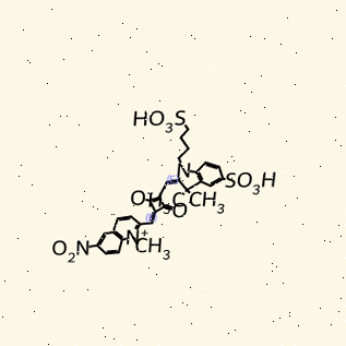 C[n+]1c(/C=C2/C(=O)C(/C=C3/N(CCCCS(=O)(=O)O)c4ccc(S(=O)(=O)O)cc4C3(C)C)=C2[O-])ccc2cc([N+](=O)[O-])ccc21